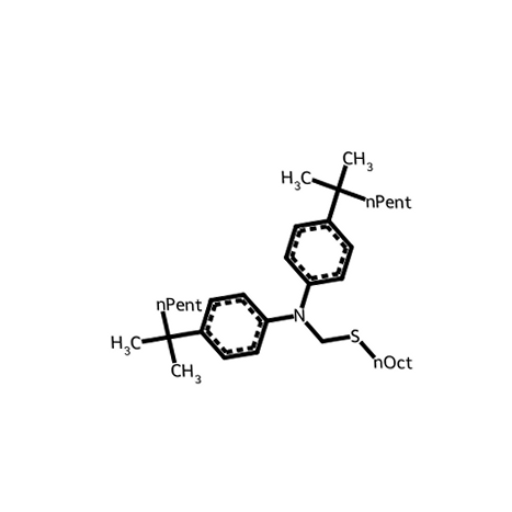 CCCCCCCCSCN(c1ccc(C(C)(C)CCCCC)cc1)c1ccc(C(C)(C)CCCCC)cc1